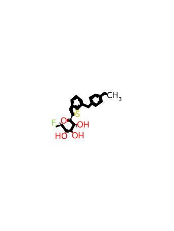 CCc1ccc(Cc2cccc3cc([C@@H]4O[C@H](CF)[C@@H](O)[C@H](O)[C@H]4O)sc23)cc1